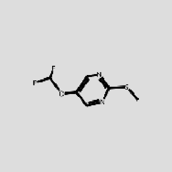 CSc1ncc(OC(F)F)cn1